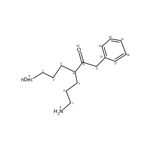 CCCCCCCCCCCCCC(CCCN)C(=O)Cc1ccccc1